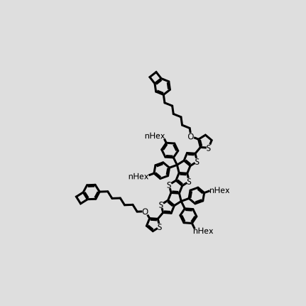 CCCCCCc1ccc(C2(c3ccc(CCCCCC)cc3)c3cc(C4=C(OCCCCCCc5ccc6c(c5)CC6)CCS4)sc3-c3sc4c5c(sc4c32)-c2sc(-c3sccc3OCCCCCCc3ccc4c(c3)CC4)cc2C5(c2ccc(CCCCCC)cc2)c2ccc(CCCCCC)cc2)cc1